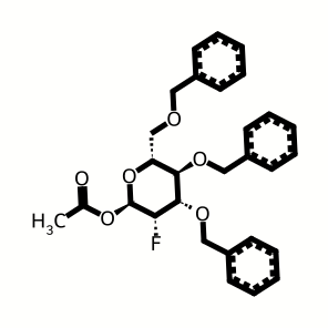 CC(=O)O[C@H]1O[C@H](COCc2ccccc2)[C@@H](OCc2ccccc2)[C@H](OCc2ccccc2)[C@@H]1F